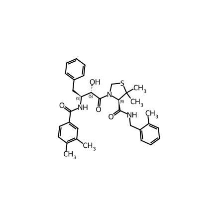 Cc1ccc(C(=O)N[C@@H](Cc2ccccc2)[C@H](O)C(=O)N2CSC(C)(C)[C@H]2C(=O)NCc2ccccc2C)cc1C